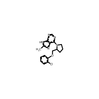 Cc1nc2c(N3CCCC3COc3ccccc3Cl)ncnc2[nH]1